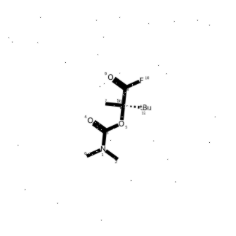 CN(C)C(=O)O[C@@](C)(C(=O)F)C(C)(C)C